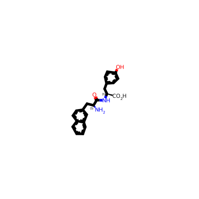 N[C@@H](Cc1ccc2ccccc2c1)C(=O)N[C@@H](Cc1ccc(O)cc1)C(=O)O